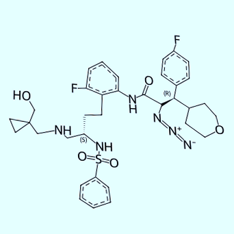 [N-]=[N+]=NC(C(=O)Nc1cccc(F)c1CC[C@@H](CNCC1(CO)CC1)NS(=O)(=O)c1ccccc1)[C@@H](c1ccc(F)cc1)C1CCOCC1